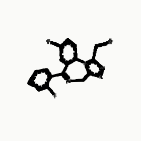 Fc1ccc2c(c1)C(c1ccccc1F)=NCc1nnc(CBr)n1-2